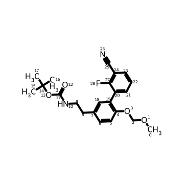 COCOc1ccc(CCNC(=O)OC(C)(C)C)cc1-c1cccc(C#N)c1F